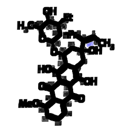 C/C=C(/CCC)[C@]1(O)Cc2c(O)c3c(c(O)c2[C@@H](O[C@H]2C[C@H](CC)[C@H](O)[C@H](C)O2)C1)C(=O)c1c(OC)cccc1C3=O